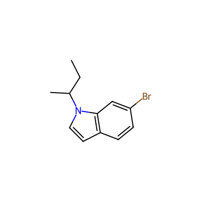 CCC(C)n1ccc2ccc(Br)cc21